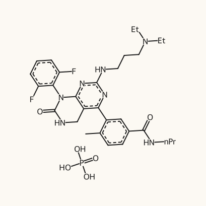 CCCNC(=O)c1ccc(C)c(-c2nc(NCCCN(CC)CC)nc3c2CNC(=O)N3c2c(F)cccc2F)c1.O=P(O)(O)O